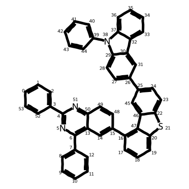 c1ccc(-c2nc(-c3ccccc3)c3cc(-c4cccc5sc6ccc(-c7ccc8c(c7)c7ccccc7n8-c7ccccc7)cc6c45)ccc3n2)cc1